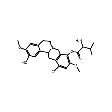 COc1cc2c(cc1O)C1Cc3c(Cl)cc(OC)c(OC(=O)C(N)C(C)C)c3CN1CC2